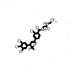 CC(F)(F)C(/C=C(\F)c1ccc(C(=O)NCC(=O)NCC(F)(F)F)c(Cl)c1)c1cc(Cl)c(Cl)c(Cl)c1